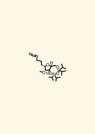 CO[C@@H]1[C@@H]2O[Si](C(C)C)(C(C)C)O[Si](C(C)C)(C(C)C)OC[C@H]2O[C@@H]1CCCN=[N+]=[N-]